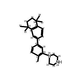 Cc1ccc(-c2ccc3c(c2)C(C)(C)CCC3(C)C)cc1N1CCNCC1